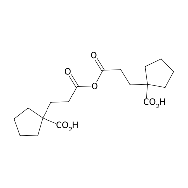 O=C(CCC1(C(=O)O)CCCC1)OC(=O)CCC1(C(=O)O)CCCC1